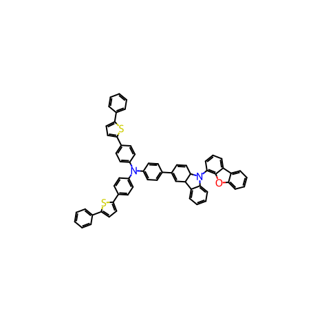 C1=CC2C(C=C1c1ccc(N(c3ccc(-c4ccc(-c5ccccc5)s4)cc3)c3ccc(-c4ccc(-c5ccccc5)s4)cc3)cc1)c1ccccc1N2c1cccc2c1oc1ccccc12